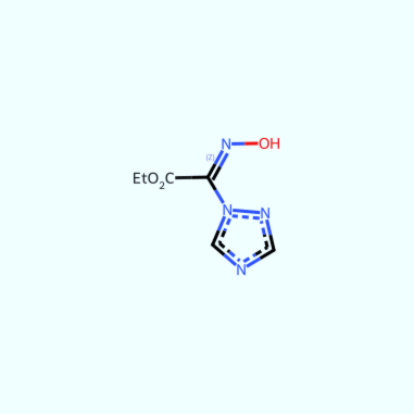 CCOC(=O)/C(=N/O)n1cncn1